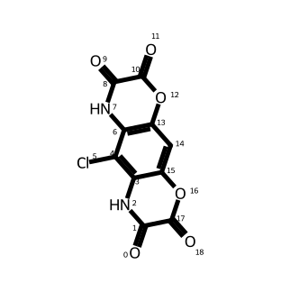 O=c1[nH]c2c(Cl)c3[nH]c(=O)c(=O)oc3cc2oc1=O